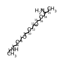 CCNCCOCCOCCOCCOCCOCC(N)CC